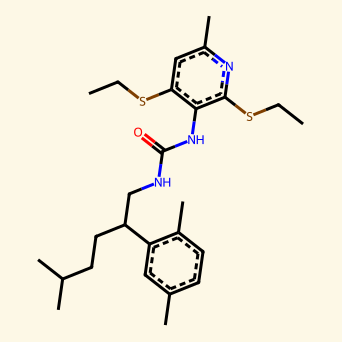 CCSc1cc(C)nc(SCC)c1NC(=O)NCC(CCC(C)C)c1cc(C)ccc1C